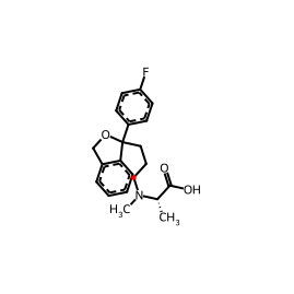 C[C@@H](C(=O)O)N(C)CCCC1(c2ccc(F)cc2)OCc2ccccc21